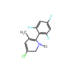 CCN1CC(Cl)=CC(C)=C1c1c(F)cc(F)cc1F